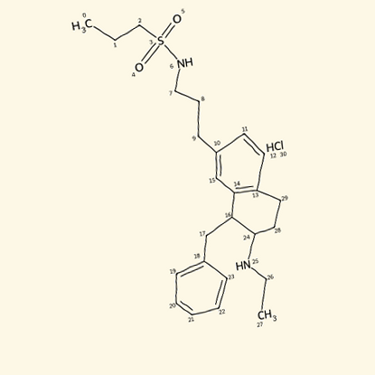 CCCS(=O)(=O)NCCCc1ccc2c(c1)C(Cc1ccccc1)C(NCC)CC2.Cl